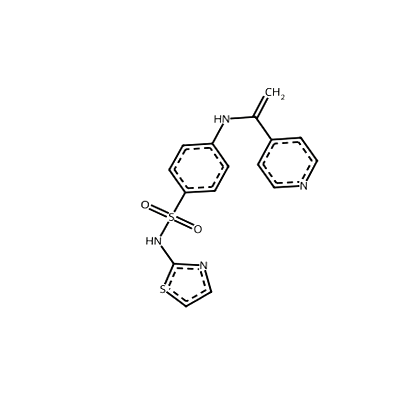 C=C(Nc1ccc(S(=O)(=O)Nc2nccs2)cc1)c1ccncc1